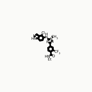 CCNC(=O)c1ccc(-c2nc(Nc3ccc4[nH]ncc4c3Cl)n(C)n2)cc1C(F)(F)F